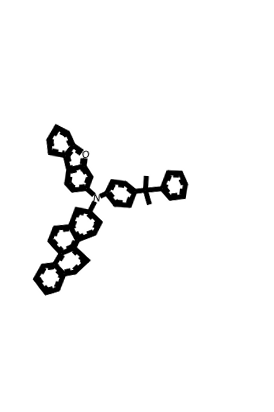 CC(C)(c1ccccc1)c1ccc(N(c2ccc3c(ccc4c5ccccc5ccc34)c2)c2ccc3c(c2)oc2ccccc23)cc1